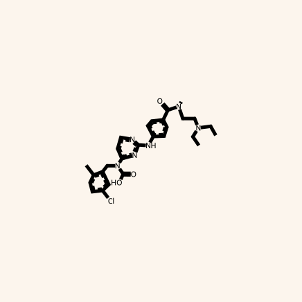 CCN(CC)CCN(C)C(=O)c1ccc(Nc2nccc(N(Cc3cc(Cl)ccc3C)C(=O)O)n2)cc1